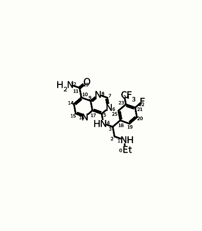 CCNCC(Nc1ncnc2c(C(N)=O)ccnc12)c1ccc(F)c(C(F)(F)F)c1